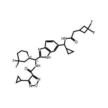 O=C(CC1CC(F)(F)C1)NC(c1ccc2nc([C@@H](NC(=O)c3nonc3C3CC3)[C@@H]3CCCC(F)(F)C3)[nH]c2c1)C1CC1